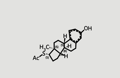 CC(=O)S[C@H]1CC[C@H]2[C@@H]3CCc4cc(O)ccc4[C@H]3CC[C@]12C